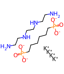 NCCNCCNCCN.O=P([O-])([O-])CCCCCCP(=O)([O-])[O-].[K+].[K+].[K+].[K+]